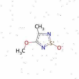 COc1n[s+]([O-])nc1C